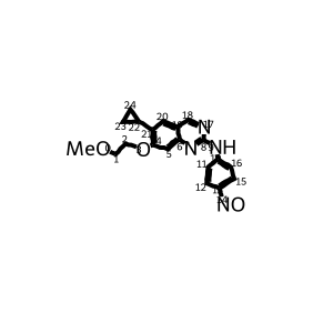 COCCOc1cc2nc(Nc3ccc(N=O)cc3)ncc2cc1C1CC1